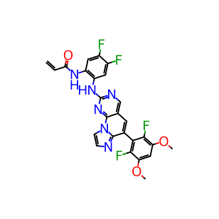 C=CC(=O)Nc1cc(F)c(F)cc1Nc1ncc2cc(-c3c(F)c(OC)cc(OC)c3F)c3nccn3c2n1